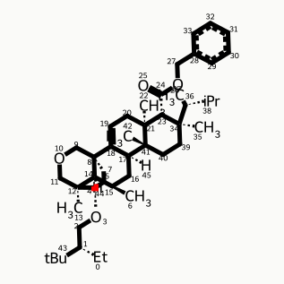 CC[C@@H](CO[C@H]1[C@H](C)C[C@@]23COC[C@@]1(C)[C@@H]2CC[C@H]1C3=CC[C@@]2(C)[C@H](C(=O)OCc3ccccc3)[C@@](C)([C@H](C)C(C)C)CC[C@]12C)C(C)(C)C